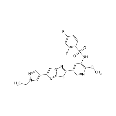 CCn1cc(-c2cn3nc(-c4cnc(OC)c(NS(=O)(=O)c5ccc(F)cc5F)c4)sc3n2)cn1